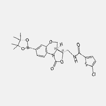 CC1(C)OB(c2ccc3c(c2)OC[C@H]2[C@H](CNC(=O)c4ccc(Cl)s4)OC(=O)N32)OC1(C)C